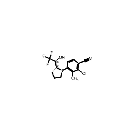 Cc1c(N2CCC[C@@H]2[C@@H](O)C(F)(F)F)ccc(C#N)c1Cl